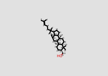 CC(C)=CCCC(C)(C)C1CCC2[C@]3(C)CCC4C(C)(C)[C@@H](CO)CC[C@]4(C)C3CC3C[C@@]312